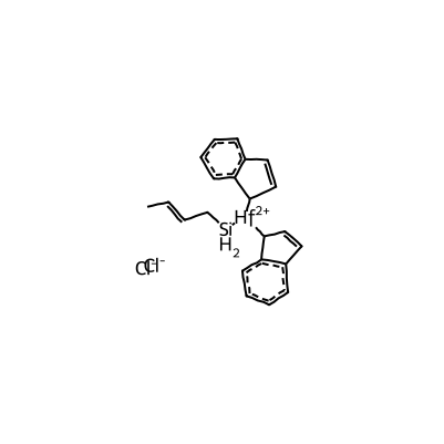 CC=CC[SiH2][Hf+2]([CH]1C=Cc2ccccc21)[CH]1C=Cc2ccccc21.[Cl-].[Cl-]